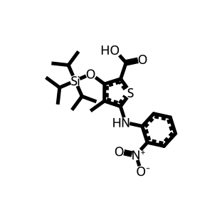 Cc1c(Nc2ccccc2[N+](=O)[O-])sc(C(=O)O)c1O[Si](C(C)C)(C(C)C)C(C)C